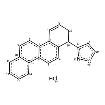 C1=Cc2c(ccc3c2ccc2ccccc23)C(c2ccon2)C1.Cl